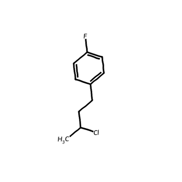 CC(Cl)CCc1ccc(F)cc1